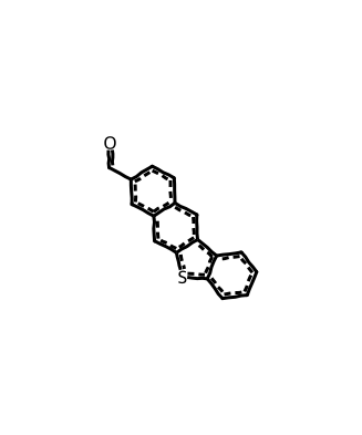 O=Cc1ccc2cc3c(cc2c1)sc1ccccc13